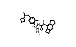 CN(Cc1ccc(S(N)(=O)=NC(=O)Nc2c3c(cc4c2CC4)CCC3)c(F)c1)C1CCC1